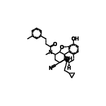 Cc1cccc(CCC(=O)N(C)C2CC[C@@]3(O)[C@H]4Cc5ccc(O)c6c5[C@@]3(CC(C#N)N4CC3CC3)C2O6)c1